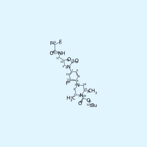 CC1CN(c2ccc(N3CC(CNC(=O)C(F)F)OC3=O)cc2F)CC(C)N1C(=O)OC(C)(C)C